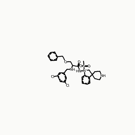 CS(=O)(=O)[N+]1(NC(=O)C(COCc2ccccc2)NCc2cc(Cl)cc(Cl)c2)CC2(CCNCC2)c2ccccc21